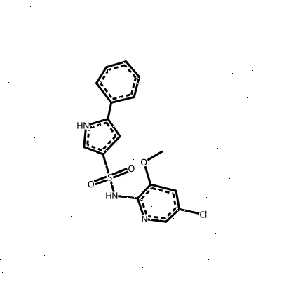 COc1cc(Cl)cnc1NS(=O)(=O)c1c[nH]c(-c2ccccc2)c1